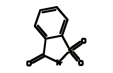 O=C1[N]S(=O)(=O)c2ccccc21